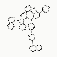 c1ccc(-c2ccc(N(c3ccc(-c4ccc(-c5cccc6ccccc56)cc4)cc3)c3cccc4c3c3ccccc3n4-c3cccc4ccccc34)c3c2oc2ccccc23)cc1